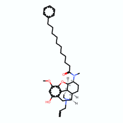 C=CCN1CC[C@]23c4c5c(O)cc(OC)c4O[C@H]2[C@@H](N(C)C(=O)CCCCCCCCCCc2ccccc2)CC[C@H]3[C@H]1C5